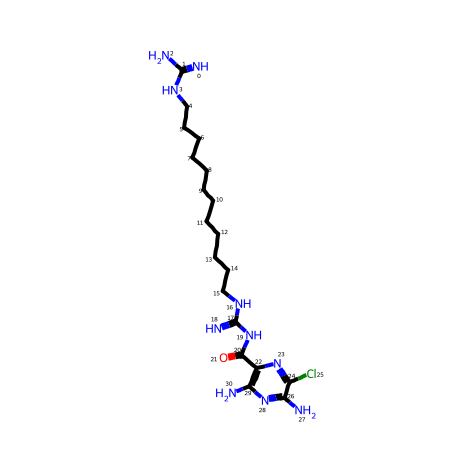 N=C(N)NCCCCCCCCCCCCNC(=N)NC(=O)c1nc(Cl)c(N)nc1N